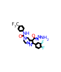 NN=NC(=O)c1c(-c2ccc(F)c(F)c2)nn2c1CN(C(=O)Nc1ccc(C(F)(F)F)cc1)CC2